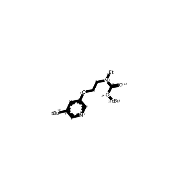 CCN(CCOc1cncc(C(C)(C)C)c1)C(=O)OC(C)(C)C